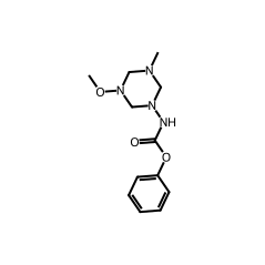 CON1CN(C)CN(NC(=O)Oc2ccccc2)C1